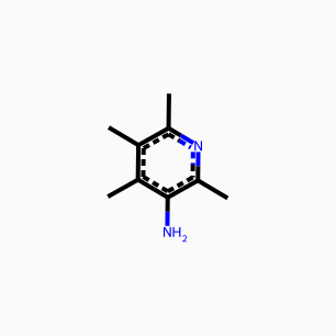 Cc1nc(C)c(N)c(C)c1C